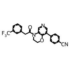 N#Cc1ccc(-c2cncc3c2OCCN3C(=O)Cc2cccc(C(F)(F)F)c2)cc1